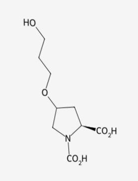 O=C(O)[C@@H]1CC(OCCCO)CN1C(=O)O